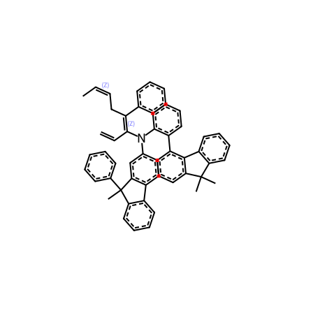 C=C/C(=C(\C/C=C\C)c1ccccc1)N(c1ccc2c(c1)C(C)(c1ccccc1)c1ccccc1-2)c1ccccc1-c1cccc2c1-c1ccccc1C2(C)C